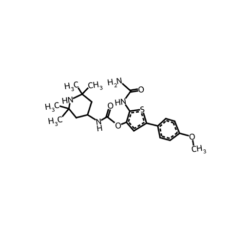 COc1ccc(-c2cc(OC(=O)NC3CC(C)(C)NC(C)(C)C3)c(NC(N)=O)s2)cc1